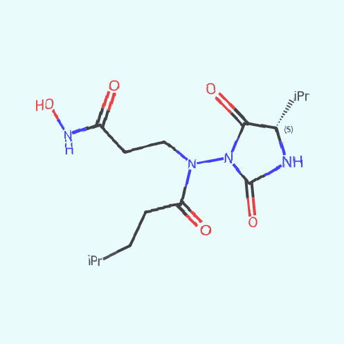 CC(C)CCC(=O)N(CCC(=O)NO)N1C(=O)N[C@@H](C(C)C)C1=O